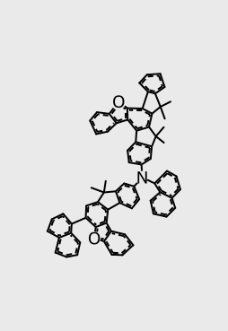 CC1(C)c2cc(N(c3ccc4c(c3)C(C)(C)c3c5c(c6oc7ccccc7c6c3-4)-c3ccccc3C5(C)C)c3cccc4ccccc34)ccc2-c2c1cc(-c1cccc3ccccc13)c1oc3ccccc3c21